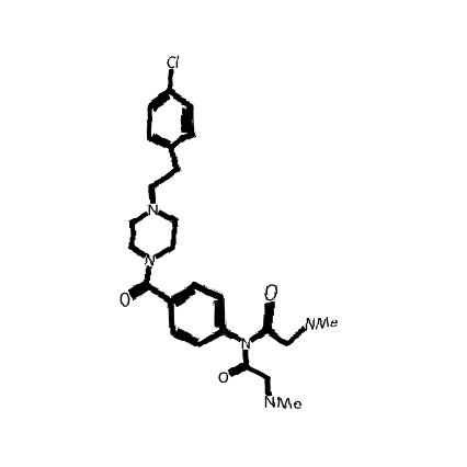 CNCC(=O)N(C(=O)CNC)c1ccc(C(=O)N2CCN(CCc3ccc(Cl)cc3)CC2)cc1